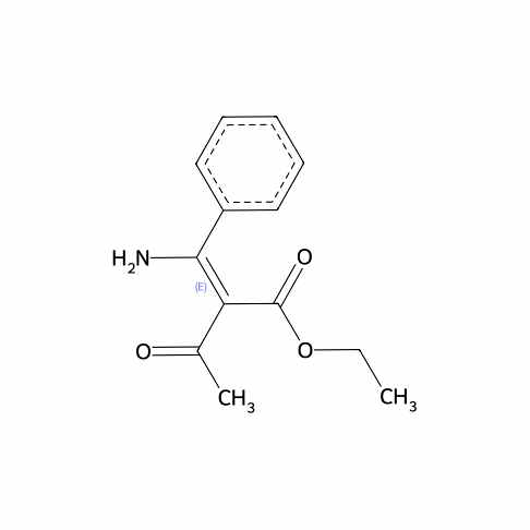 CCOC(=O)/C(C(C)=O)=C(/N)c1ccccc1